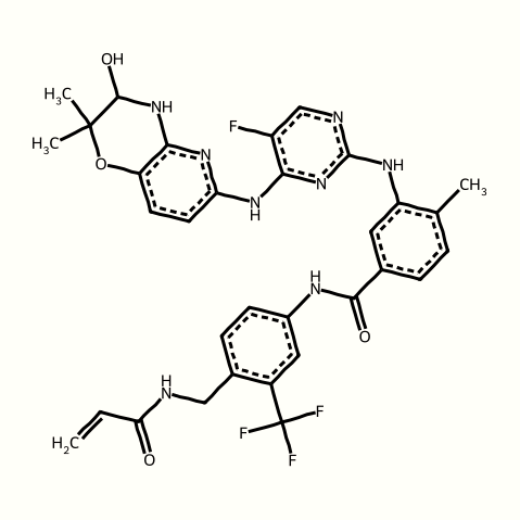 C=CC(=O)NCc1ccc(NC(=O)c2ccc(C)c(Nc3ncc(F)c(Nc4ccc5c(n4)NC(O)C(C)(C)O5)n3)c2)cc1C(F)(F)F